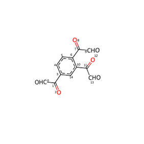 O=CC(=O)c1ccc(C(=O)C=O)c(C(=O)C=O)c1